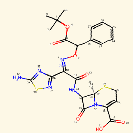 CC(C)(C)OC(=O)C(O/N=C(\C(=O)NC1C(=O)N2C(C(=O)O)=CCS[C@H]12)c1nsc(N)n1)c1ccccc1